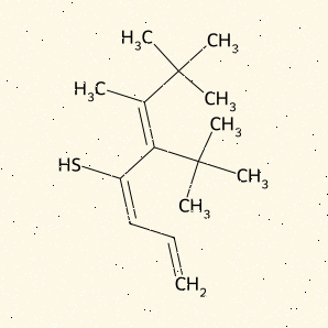 C=C/C=C(S)\C(=C(/C)C(C)(C)C)C(C)(C)C